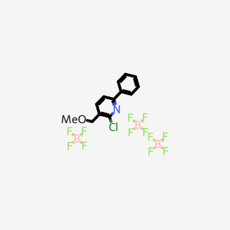 COCc1ccc(-c2ccccc2)nc1Cl.F[B-](F)(F)F.F[B-](F)(F)F.F[B-](F)(F)F